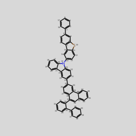 c1ccc(-c2ccc3c(c2)sc2ccc(-n4c5ccccc5c5cc(-c6ccc7c(-c8ccccc8-c8ccccc8)cc8ccccc8c7c6)ccc54)cc23)cc1